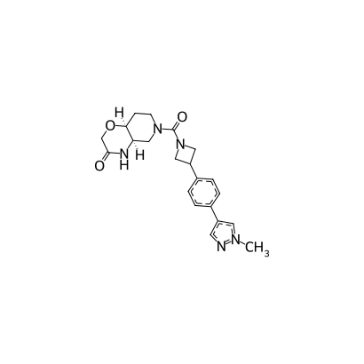 Cn1cc(-c2ccc(C3CN(C(=O)N4CC[C@@H]5OCC(=O)N[C@@H]5C4)C3)cc2)cn1